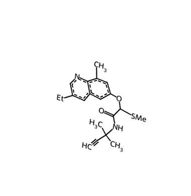 C#CC(C)(C)NC(=O)C(Oc1cc(C)c2ncc(CC)cc2c1)SC